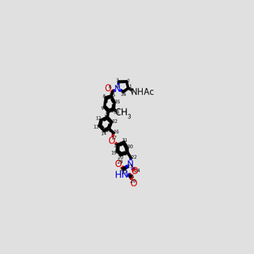 CC(=O)NC1CCN(C(=O)c2ccc(-c3cccc(COc4ccc(Cn5oc(=O)[nH]c5=O)cc4)c3)c(C)c2)C1